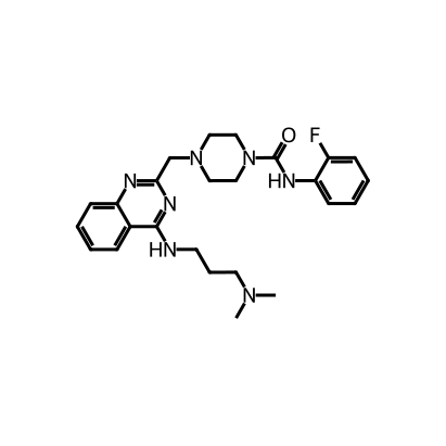 CN(C)CCCNc1nc(CN2CCN(C(=O)Nc3ccccc3F)CC2)nc2ccccc12